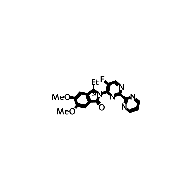 CC[C@H]1c2cc(OC)c(OC)cc2C(=O)N1c1nc(-c2ncccn2)ncc1F